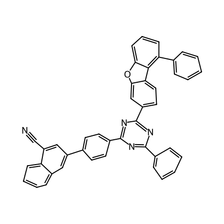 N#Cc1cc(-c2ccc(-c3nc(-c4ccccc4)nc(-c4ccc5c(c4)oc4cccc(-c6ccccc6)c45)n3)cc2)cc2ccccc12